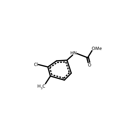 COC(=O)Nc1ccc(C)c(Cl)c1